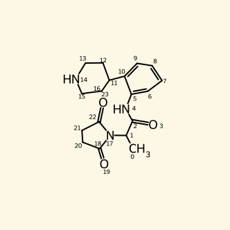 CC(C(=O)Nc1ccccc1C1CCNCC1)N1C(=O)CCC1=O